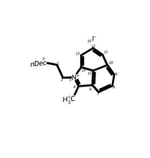 CCCCCCCCCCCC[N+]1=C(C)c2cccc3cccc1c23.[I-]